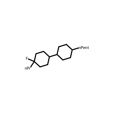 CCCCCC1CCC(C2CCC(F)(CCC)CC2)CC1